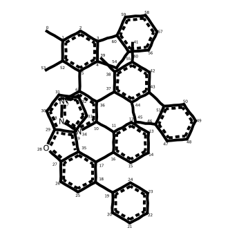 Cc1cc2c(c(-c3nnnc(-c4ccccc4-c4c(-c5ccccc5)ccc5oc6ccccc6c45)c3-c3c(C)c(C)cc4c3Cc3ccccc3-4)c1C)Cc1ccccc1-2